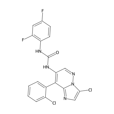 O=C(Nc1ccc(F)cc1F)Nc1cnn2c(Cl)cnc2c1-c1ccccc1Cl